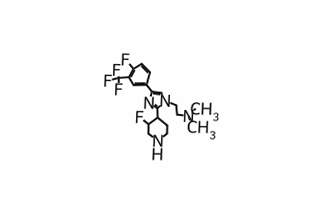 CN(C)CCn1cc(-c2ccc(F)c(C(F)(F)F)c2)nc1C1CCNCC1F